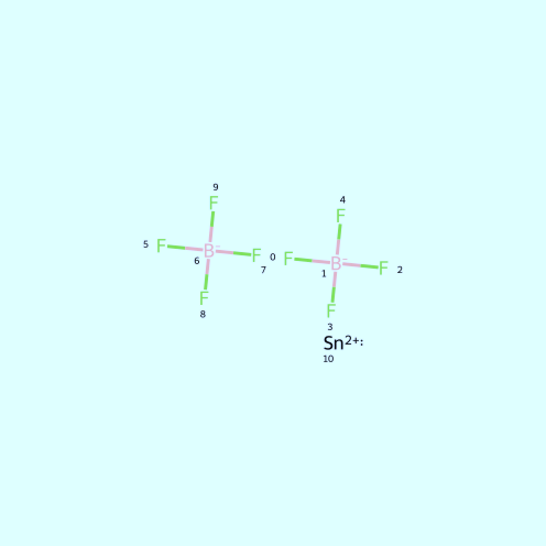 F[B-](F)(F)F.F[B-](F)(F)F.[Sn+2]